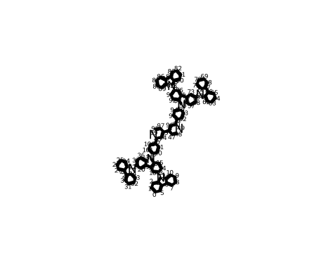 c1ccc2c(c1)c1ccccc1n2-c1ccc2c(c1)c1cc(-n3c4ccccc4c4ccccc43)ccc1n2-c1ccc(-c2cc(-c3ccnc(-c4ccc(-n5c6ccc(-n7c8ccccc8c8ccccc87)cc6c6cc(-n7c8ccccc8c8ccccc87)ccc65)cc4)c3)ccn2)cc1